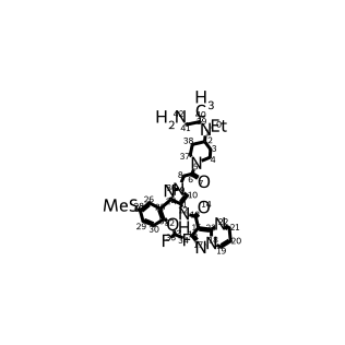 CCN(C1CCN(C(=O)Cn2cc(NC(=O)c3cnn4cccnc34)c(-c3cc(SC)ccc3OC(F)F)n2)CC1)[C@@H](C)CN